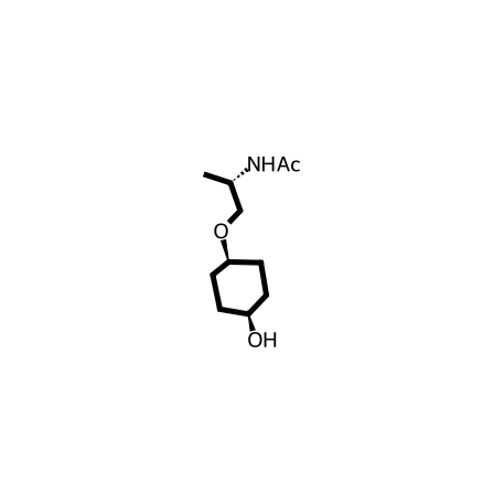 CC(=O)N[C@@H](C)CO[C@H]1CC[C@@H](O)CC1